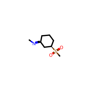 C/N=C1\CCC[C@@H](S(C)(=O)=O)C1